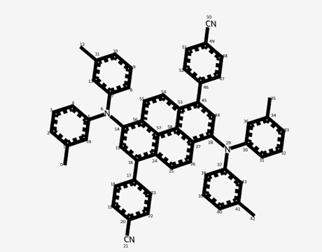 Cc1cccc(N(c2cccc(C)c2)c2cc(-c3ccc(C#N)cc3)c3ccc4c(N(c5cccc(C)c5)c5cccc(C)c5)cc(-c5ccc(C#N)cc5)c5ccc2c3c54)c1